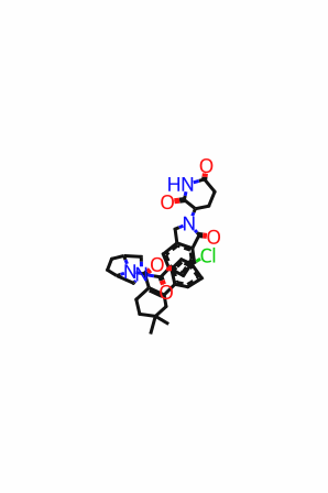 CC1(C)CCC(C(=O)N2C3CCC2CN(C(=O)c2ccc4c(c2)CN(C2CCC(=O)NC2=O)C4=O)C3)=C(c2ccc(Cl)cc2)C1